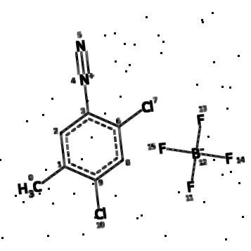 Cc1cc([N+]#N)c(Cl)cc1Cl.F[B-](F)(F)F